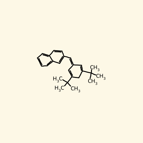 CC(C)(C)C1=CC(=Cc2ccc3ccccc3c2)C=C(C(C)(C)C)C1